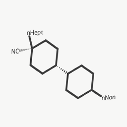 CCCCCCCCCC1CCC([C@H]2CC[C@](C#N)(CCCCCCC)CC2)CC1